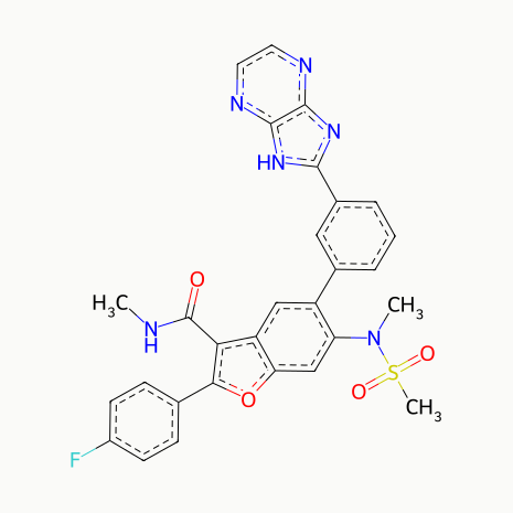 CNC(=O)c1c(-c2ccc(F)cc2)oc2cc(N(C)S(C)(=O)=O)c(-c3cccc(-c4nc5nccnc5[nH]4)c3)cc12